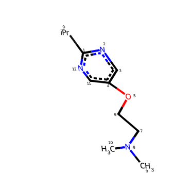 CC(C)c1ncc(OCCN(C)C)cn1